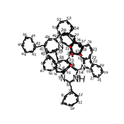 c1ccc(C2=NC(c3ccccc3)NC(n3c4ccccc4c4ccc5c6ccccc6n(-c6ccccc6-c6cc(-c7ccccc7)cc(-c7ccccc7-c7ccccc7)n6)c5c43)=N2)cc1